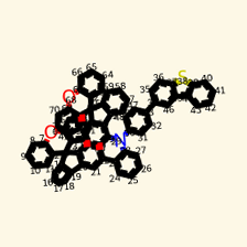 c1ccc2c(c1)Oc1ccccc1C21c2ccccc2-c2cc(-c3ccccc3N(c3ccc(-c4ccc5sc6ccccc6c5c4)cc3)c3cccc4c3-c3ccccc3C43c4ccccc4Oc4ccccc43)ccc21